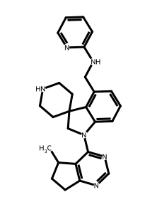 CC1CCc2ncnc(N3CC4(CCNCC4)c4c(CNc5ccccn5)cccc43)c21